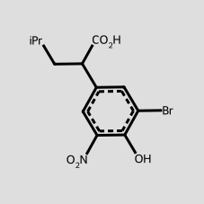 CC(C)CC(C(=O)O)c1cc(Br)c(O)c([N+](=O)[O-])c1